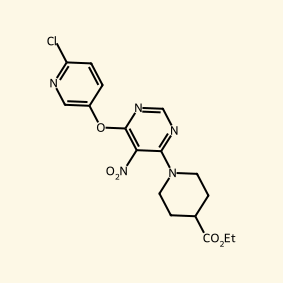 CCOC(=O)C1CCN(c2ncnc(Oc3ccc(Cl)nc3)c2[N+](=O)[O-])CC1